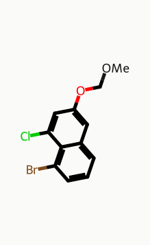 COCOc1cc(Cl)c2c(Br)cccc2c1